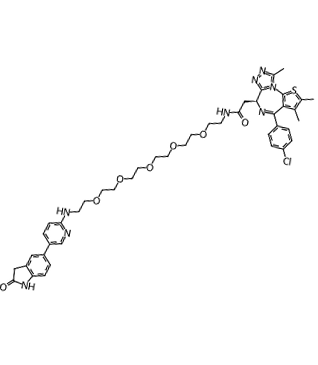 Cc1sc2c(c1C)C(c1ccc(Cl)cc1)=N[C@@H](CC(=O)NCCOCCOCCOCCOCCOCCNc1ccc(-c3ccc4c(c3)CC(=O)N4)cn1)c1nnc(C)n1-2